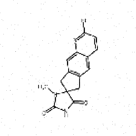 CCc1ccc2cc3c(cc2n1)CC1(C3)C(=O)NC(=O)N1C